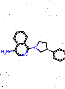 Nc1cnc(N2CC[C@@H](c3ccccc3)C2)c2ccccc12